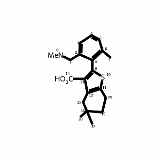 CNCc1cccc(C)c1-c1sc2c(c1C(=O)O)CC(C)(C)CC2